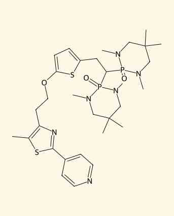 Cc1sc(-c2ccncc2)nc1CCOc1ccc(CC(P2(=O)N(C)CC(C)(C)CN2C)P2(=O)N(C)CC(C)(C)CN2C)s1